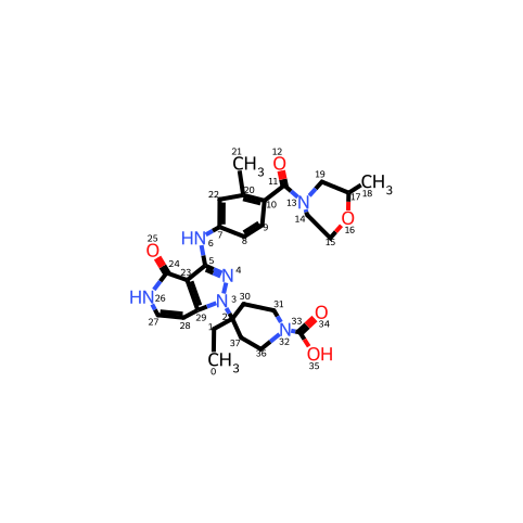 CCC1(n2nc(Nc3ccc(C(=O)N4CCOC(C)C4)c(C)c3)c3c(=O)[nH]ccc32)CCN(C(=O)O)CC1